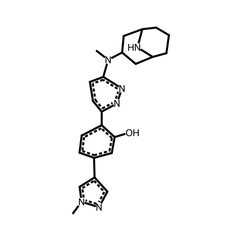 CN(c1ccc(-c2ccc(-c3cnn(C)c3)cc2O)nn1)C1CC2CCCC(C1)N2